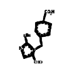 CCCCc1ncc(C=O)n1Cc1ccc(C(=O)O)cc1